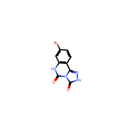 O=c1[nH]nc2c3ccc(Br)cc3[nH]c(=O)n12